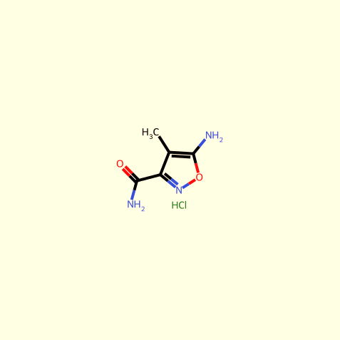 Cc1c(C(N)=O)noc1N.Cl